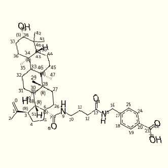 C=C(C)[C@@H]1CC[C@]2(C(=O)NCCCC(=O)NCc3ccc(C(=O)O)cc3)CC[C@]3(C)[C@H](CCC4[C@@]5(C)CC[C@H](O)C(C)(C)[C@@H]5CC[C@]43C)[C@@H]12